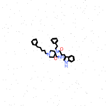 O=C1C(Cc2c[nH]c3ccccc23)NC(=O)C2(CCN(CCCCCc3ccccc3)CC2)N1CCc1ccccc1